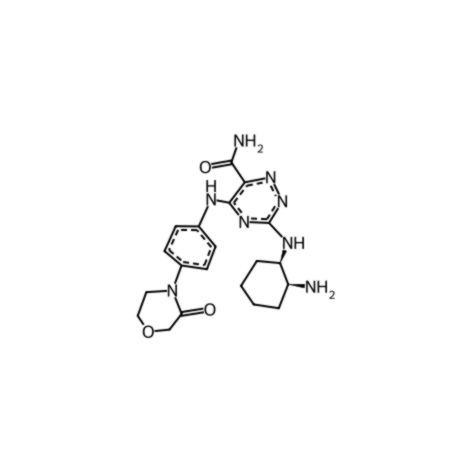 NC(=O)c1nnc(N[C@@H]2CCCC[C@@H]2N)nc1Nc1ccc(N2CCOCC2=O)cc1